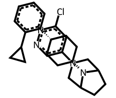 Clc1cc(N2CC3CCC(C2)N3[C@H]2CC[C@@H](c3ccccc3C3CC3)CC2)cnn1